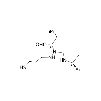 CC(=O)[C@H](C)NCN(NCCCS)[C@H](C=O)CC(C)C